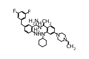 C=CN1CCN(c2ccc(C(=C)NC(N)c3cc(Cc4cc(F)cc(F)c4)ccc3N)c(NC3CCCCC3)c2)CC1